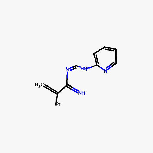 C=C(C(=N)/N=C\Nc1ccccn1)C(C)C